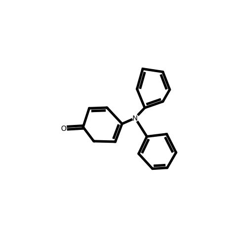 O=C1C=CC(N(c2ccccc2)c2ccccc2)=CC1